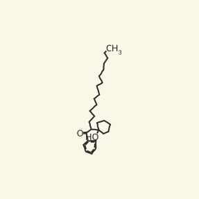 CCCCCCCCCCCCCCC(C(=O)c1ccccc1)C1(O)CCCCC1